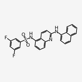 O=S(=O)(Nc1cccc2nc(Nc3cccc4ccccc34)ccc12)c1cc(F)cc(F)c1